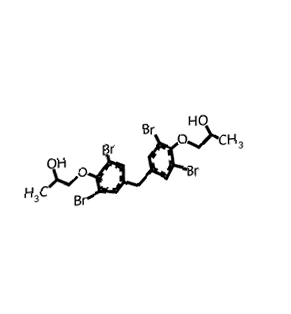 CC(O)COc1c(Br)cc(Cc2cc(Br)c(OCC(C)O)c(Br)c2)cc1Br